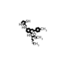 COC(=O)[C@H](CCSC)NC(=O)c1ccc(NC[C@H]2NCC[C@H]2S)cc1CCc1ccc(C)cc1